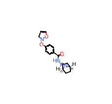 O=C(N[C@@H]1C[C@H]2CC[C@@H]1N2)c1ccc(ON2CC=CO2)cc1